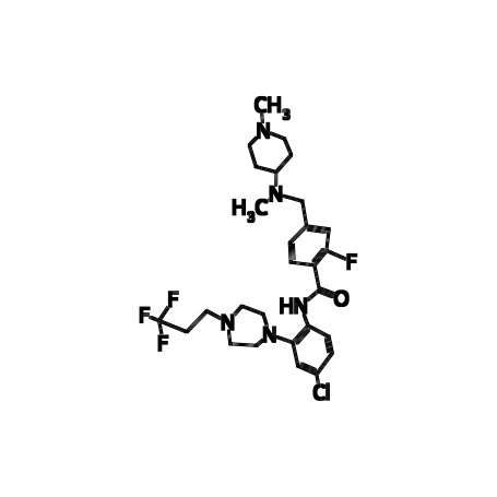 CN1CCC(N(C)Cc2ccc(C(=O)Nc3ccc(Cl)cc3N3CCN(CCC(F)(F)F)CC3)c(F)c2)CC1